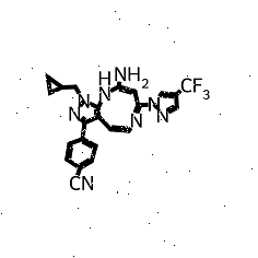 N#Cc1ccc(-c2nn(CC3CC3)c3[nH]c(N)cc(-n4cc(C(F)(F)F)cn4)nccc23)cc1